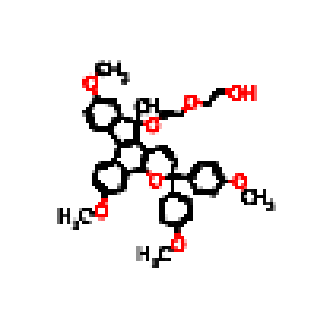 COc1ccc(C2(c3ccc(OC)cc3)C=Cc3c4c(c5ccc(OC)cc5c3O2)-c2ccc(OC)cc2C4(C)OCCOCCO)cc1